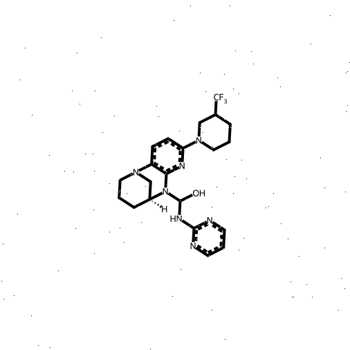 OC(Nc1ncccn1)N1c2nc(N3CCCC(C(F)(F)F)C3)ccc2N2CCC[C@H]1C2